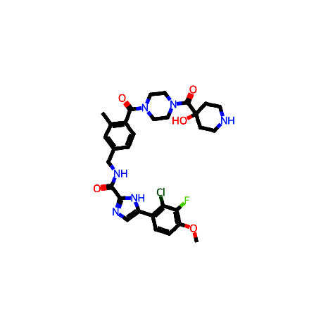 COc1ccc(-c2cnc(C(=O)NCc3ccc(C(=O)N4CCN(C(=O)C5(O)CCNCC5)CC4)c(C)c3)[nH]2)c(Cl)c1F